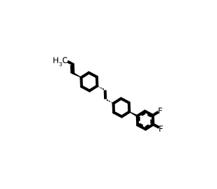 CC=C[C@H]1CC[C@H](CC[C@H]2CC[C@H](c3ccc(F)c(F)c3)CC2)CC1